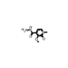 COc1c(C(=O)NN)ccn(C)c1=O